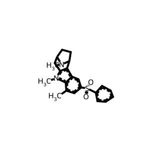 Cc1cc(S(=O)(=O)c2ccccc2)cc2c3c(n(C)c12)CC1CCC3N1C